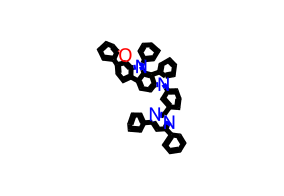 c1ccc(-c2cc(-c3ccccc3)nc(-c3cccc(-n4c5ccccc5c5c4ccc4c6ccc7c8ccccc8oc7c6n(-c6ccccc6)c45)c3)n2)cc1